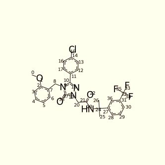 COc1ccccc1Cn1c(-c2ccc(Cl)cc2)nn(CC(=O)NC(C)(C)c2cccc(C(F)(F)F)c2)c1=O